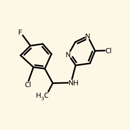 CC(Nc1cc(Cl)ncn1)c1ccc(F)cc1Cl